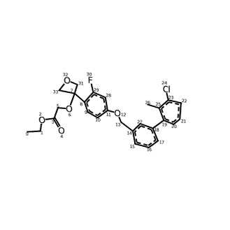 CCOC(=O)COC1(c2ccc(OCc3cccc(-c4cccc(Cl)c4C)c3)cc2F)COC1